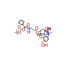 CN1CC[C@]23c4c5ccc(CO)c4O[C@H]2C(OC(=O)CCNC(=O)[C@@H](OC(=O)OC(C)(C)C)c2ccccc2)=CC[C@@]3(O)[C@H]1C5